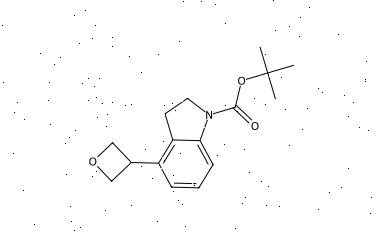 CC(C)(C)OC(=O)N1CCc2c(C3COC3)cccc21